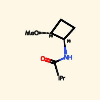 CO[C@@H]1CC[C@H]1NC(=O)C(C)C